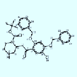 CC(C)(C)OC(=O)N1CCNCC1CC(=O)c1cc(Cl)c(OCc2ccccc2)cc1OCc1ccccc1